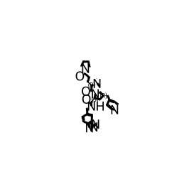 CN(C)[C@H](CCC(=O)N1CCCC1)C(=O)N1C[C@H](Cc2ccncc2)C[C@H]1C(=O)NCc1ccc2c(c1)nnn2C